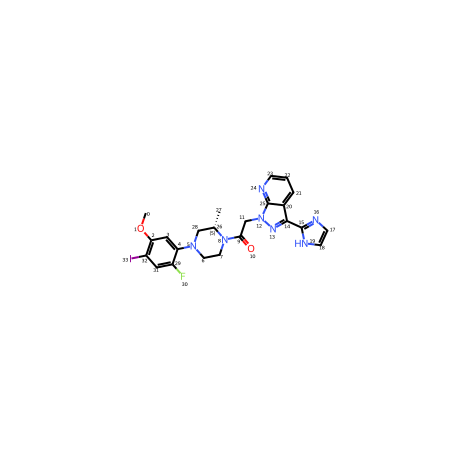 COc1cc(N2CCN(C(=O)Cn3nc(-c4ncc[nH]4)c4cccnc43)[C@@H](C)C2)c(F)cc1I